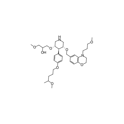 COCCCN1CCOc2ccc(CO[C@H]3CNC[C@@H](OCC(O)COC)[C@@H]3c3ccc(OCCCC(C)OC)cc3)cc21